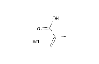 C=C(C)C(=O)O.Cl